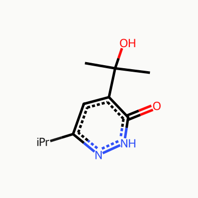 CC(C)c1cc(C(C)(C)O)c(=O)[nH]n1